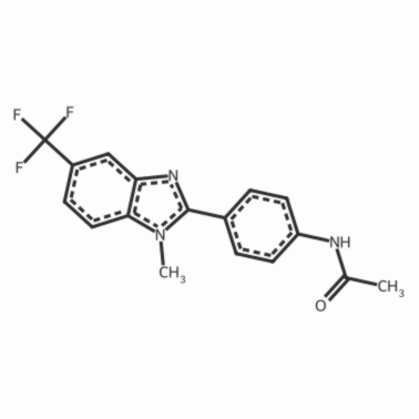 CC(=O)Nc1ccc(-c2nc3cc(C(F)(F)F)ccc3n2C)cc1